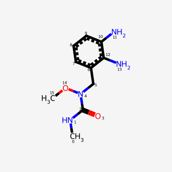 CNC(=O)N(Cc1cccc(N)c1N)OC